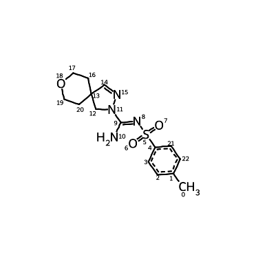 Cc1ccc(S(=O)(=O)/N=C(\N)N2CC3(C=N2)CCOCC3)cc1